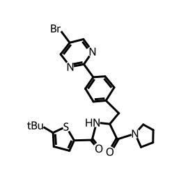 CC(C)(C)c1ccc(C(=O)NC(Cc2ccc(-c3ncc(Br)cn3)cc2)C(=O)N2CCCC2)s1